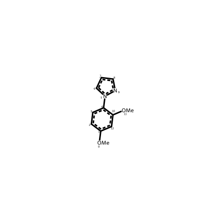 COc1ccc(-n2c[c]cn2)c(OC)c1